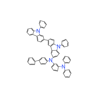 c1ccc(-c2ccc(N(c3cccc(N(c4ccccc4)c4ccccc4)c3)c3ccc4c(c3)c3cc(-c5ccc6c7ccccc7n(-c7ccccc7)c6c5)ccc3n4-c3ccccc3)cc2)cc1